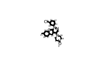 CON1CCN(c2cnn(-c3cccc(Cl)c3)c(=O)c2Cc2ccc(C)cc2)CC1